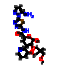 COCC(C)(C)COc1c(-c2ncccc2OC)cc(C(=O)Nc2nnc(-n3nccc3N)s2)oc1=O